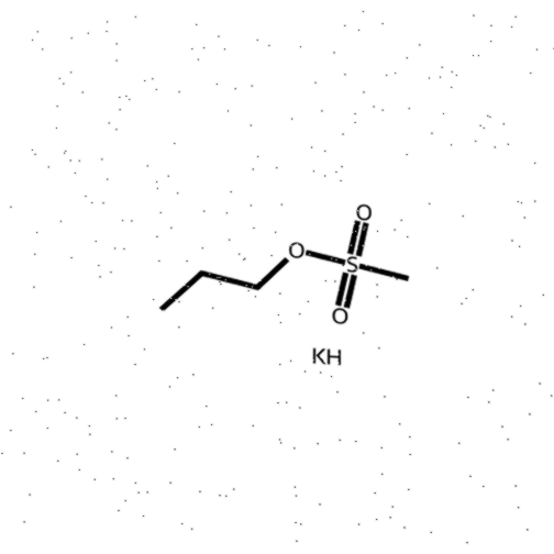 CCCOS(C)(=O)=O.[KH]